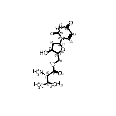 CC(C)[C@H](N)C(=O)OC[C@@H]1O[C@H](n2ccc(=O)[nH]c2=O)CC1O